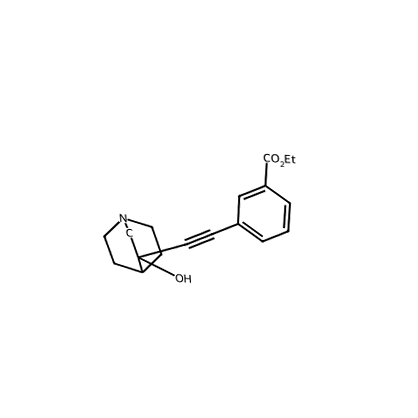 CCOC(=O)c1cccc(C#CC2(O)CN3CCC2CC3)c1